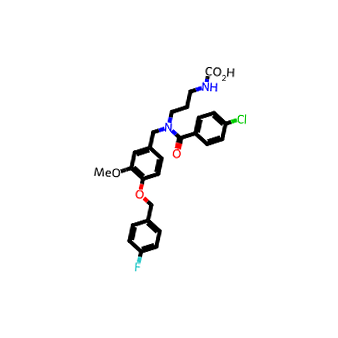 COc1cc(CN(CCCNC(=O)O)C(=O)c2ccc(Cl)cc2)ccc1OCc1ccc(F)cc1